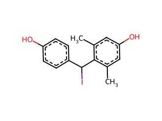 Cc1cc(O)cc(C)c1C(I)c1ccc(O)cc1